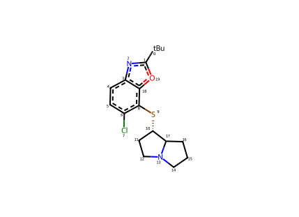 CC(C)(C)c1nc2ccc(Cl)c(S[C@H]3CCN4CCCC34)c2o1